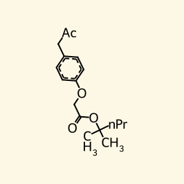 CCCC(C)(C)OC(=O)COc1ccc(CC(C)=O)cc1